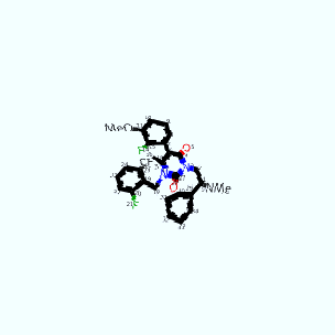 CNC(Cn1c(=O)c(-c2cccc(OC)c2F)c(C)n(Cc2c(F)cccc2C(F)(F)F)c1=O)c1ccccc1